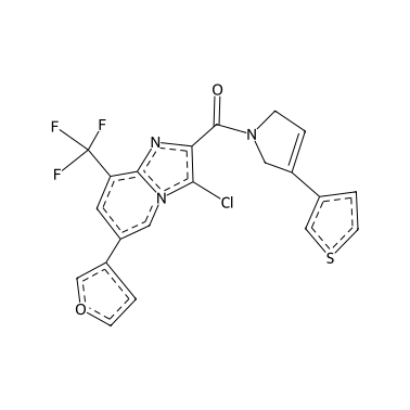 O=C(c1nc2c(C(F)(F)F)cc(-c3ccoc3)cn2c1Cl)N1CC=C(c2ccsc2)C1